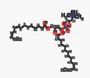 CCCC/C=C\C/C=C\CCCCCCCC(=O)OC[C@H](COP(=O)([O-])OCC[N+](C)(C)C)OC(=O)CCCCCCCCC/C=C\CCCCCCCCCC